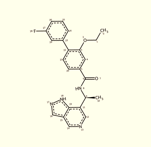 CCOc1cc(C(=O)N[C@@H](C)c2cncc3cn[nH]c23)ccc1-c1cccc(F)c1